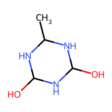 CC1NC(O)NC(O)N1